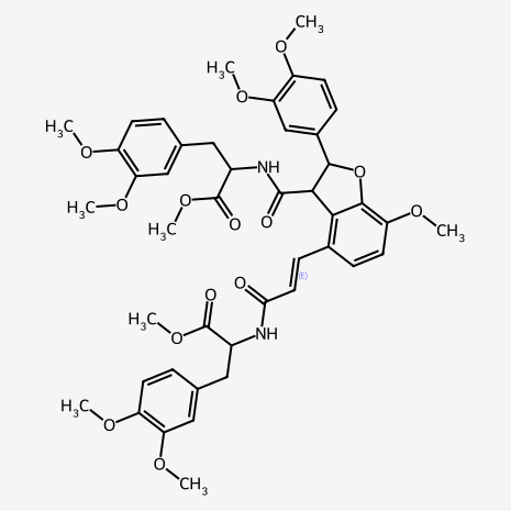 COC(=O)C(Cc1ccc(OC)c(OC)c1)NC(=O)/C=C/c1ccc(OC)c2c1C(C(=O)NC(Cc1ccc(OC)c(OC)c1)C(=O)OC)C(c1ccc(OC)c(OC)c1)O2